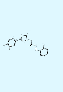 CCc1nc(-c2ccc(Cl)c(F)c2)nn1CC(=O)NCc1ccccc1F